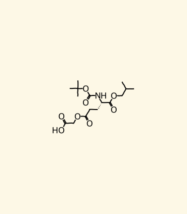 CC(C)COC(=O)[C@H](CCC(=O)OCC(=O)O)NC(=O)OC(C)(C)C